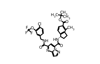 Cc1c(C(=O)OC(C)(C)C)ccc2c1CC[C@@H]2NC(=O)c1cc(C(=O)NCc2ccc(Cl)c(OC(F)(F)F)c2)nc2ccnn12